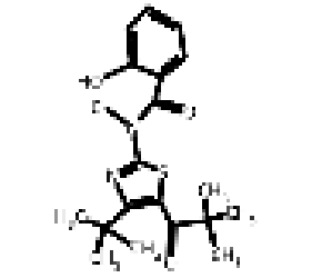 CC(C)(C)C(=O)c1sc(N(Cl)C(=O)c2ccccc2O)nc1C(C)(C)C